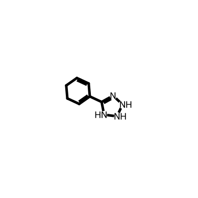 C1=CC(C2=NNNN2)=CCC1